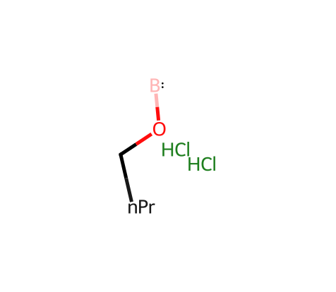 Cl.Cl.[B]OCCCC